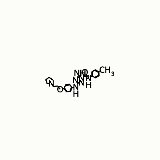 Cc1ccc(NC(=O)n2nc(Nc3ccc(OCCN4CCCC4)cc3)nc2N)cc1